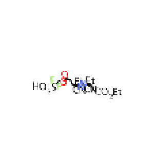 CCOC(=O)CCC(C#N)(CC)N=NC(C#N)(CC)CCC(=O)OCC(F)(F)S(=O)(=O)O